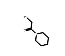 C[C](C)CC(=O)N1CCCCC1